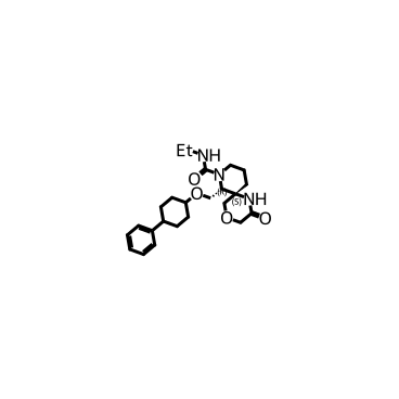 CCNC(=O)N1CCC[C@@]2(COCC(=O)N2)[C@@H]1COC1CCC(c2ccccc2)CC1